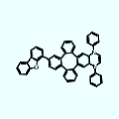 c1ccc(-n2ccn(-c3ccccc3)c3cc4c5ccccc5c5cc(-c6cccc7c6oc6ccccc67)ccc5c5ccccc5c4cc32)cc1